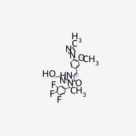 COc1cc(/C=C2\N/C(=N\CCO)N(C(C)c3cc(F)c(F)c(F)c3)C2=O)ccc1-n1cnc(C)c1